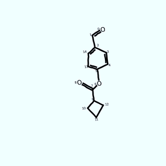 O=Cc1ccc(OC(=O)C2CCC2)cc1